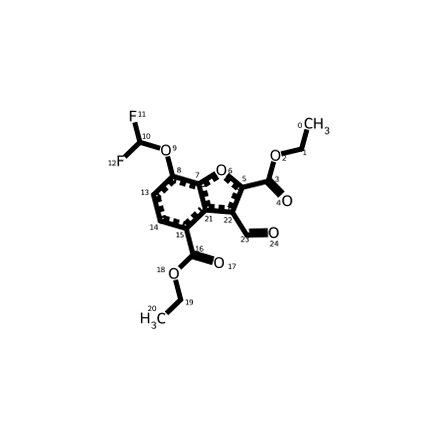 CCOC(=O)c1oc2c(OC(F)F)ccc(C(=O)OCC)c2c1C=O